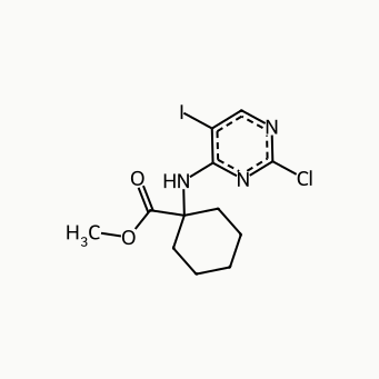 COC(=O)C1(Nc2nc(Cl)ncc2I)CCCCC1